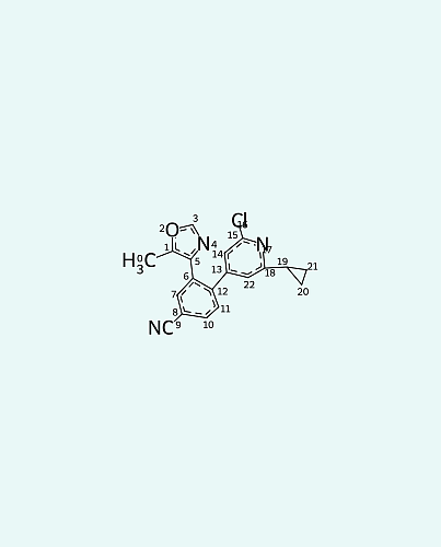 Cc1ocnc1-c1cc(C#N)ccc1-c1cc(Cl)nc(C2CC2)c1